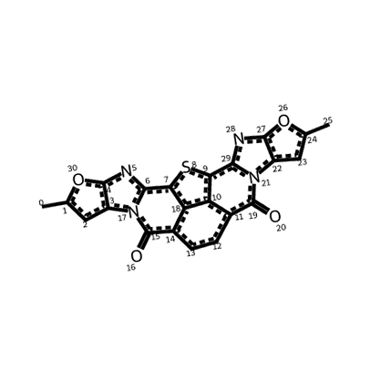 Cc1cc2c(nc3c4sc5c6c(ccc(c(=O)n23)c46)c(=O)n2c3cc(C)oc3nc52)o1